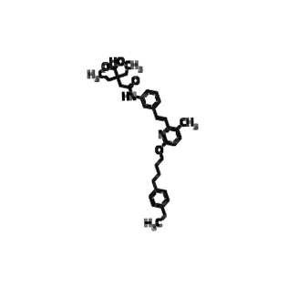 CCc1ccc(CCCCOc2ccc(C)c(C=Cc3cccc(NC(=O)CC(CC)(CC)C(=O)O)c3)n2)cc1